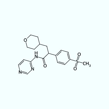 CS(=O)(=O)c1ccc(C(CC2CCOCC2)C(=O)Nc2ccncn2)cc1